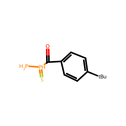 CC(C)(C)c1ccc(C(=O)[PH](P)=S)cc1